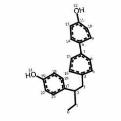 CCC(Cc1ccc(-c2ccc(O)cc2)cc1)c1ccc(O)cc1